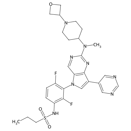 CCCS(=O)(=O)Nc1ccc(F)c(-n2cc(-c3cncnc3)c3nc(N(C)C4CCN(C5COC5)CC4)ncc32)c1F